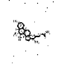 CC[C@H]1[C@@H](O)[C@@H]2[C@H](CC[C@]3(C)C([C@H](C)CCNC(N)=O)CC[C@@H]23)[C@@]2(C)CC[C@@H](O)C[C@@H]12